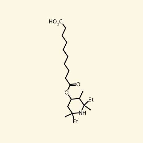 CCC1(C)CC(OC(=O)CCCCCCCCC(=O)O)C(C)C(C)(CC)N1